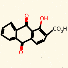 O=C(O)c1ccc2c(c1O)C(=O)c1ccccc1C2=O